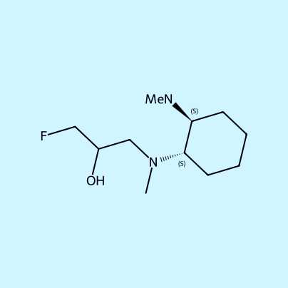 CN[C@H]1CCCC[C@@H]1N(C)CC(O)CF